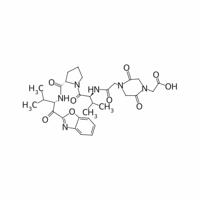 CC(C)[C@H](NC(=O)[C@@H]1CCCN1C(=O)[C@@H](NC(=O)CN1CC(=O)N(CC(=O)O)CC1=O)C(C)C)C(=O)c1nc2ccccc2o1